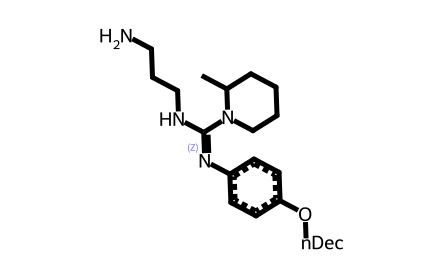 CCCCCCCCCCOc1ccc(/N=C(/NCCCN)N2CCCCC2C)cc1